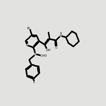 C/C(C(=O)NC1CCCCC1)=C(/O)c1cc(Br)cnc1N(C=O)Cc1ccc(F)cc1